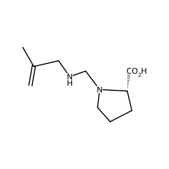 C=C(C)CNCN1CCC[C@H]1C(=O)O